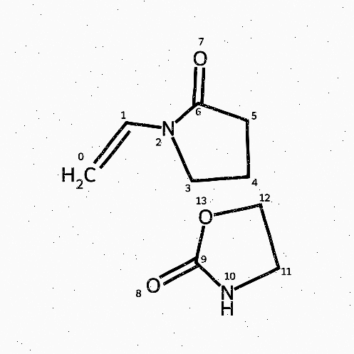 C=CN1CCCC1=O.O=C1NCCO1